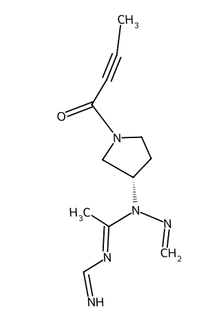 C=NN(/C(C)=N/C=N)[C@H]1CCN(C(=O)C#CC)C1